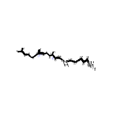 CC(C)=CCC/C(C)=C/CC/C(C)=C/CNCCCCCN